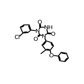 Cc1cc(-n2c(=O)[nH]c(=O)n(-c3cccc(Cl)c3)c2=O)ccc1Oc1ccccc1